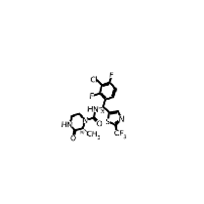 C[C@@H]1C(=O)NCCN1C(=O)N[C@@H](c1cnc(C(F)(F)F)s1)c1ccc(F)c(Cl)c1F